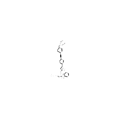 CC(=O)OCc1nc2ccccc2n1Cc1cc(-c2ccc(C#Cc3ccc(CN4CCOCC4)cc3)cc2)on1